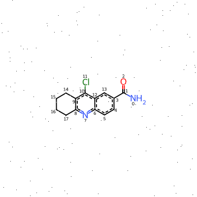 NC(=O)c1ccc2nc3c(c(Cl)c2c1)CCCC3